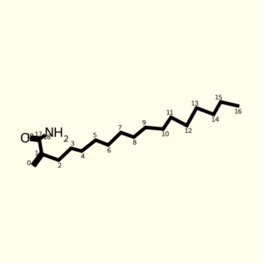 C=C(CCCCCCCCCCCCCCC)C(N)=O